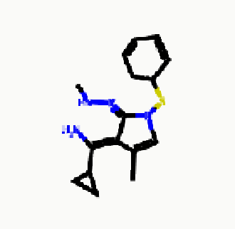 CNN=C1/C(=C(\N)C2CC2)C(C)=CN1SC1C=CC=CC1